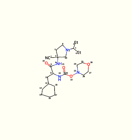 CCC(CC)N1CCC(C#N)(NC(=O)C(CC2CCCCC2)NC(=O)ON2CCOCC2)C1